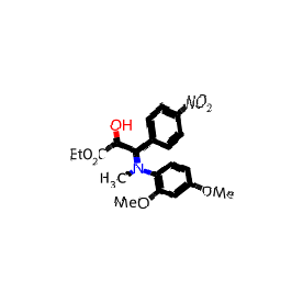 CCOC(=O)C(O)C(c1ccc([N+](=O)[O-])cc1)N(C)c1ccc(OC)cc1OC